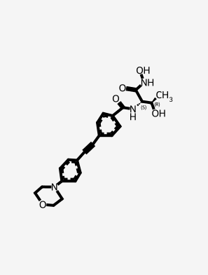 C[C@@H](O)[C@H](NC(=O)c1ccc(C#Cc2ccc(N3CCOCC3)cc2)cc1)C(=O)NO